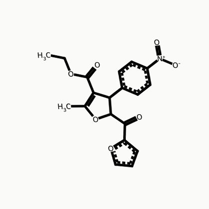 CCOC(=O)C1=C(C)OC(C(=O)c2ccco2)C1c1ccc([N+](=O)[O-])cc1